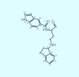 O=CC(CCNC1CCc2ccccc21)NC(=O)c1ccc2[nH]ncc2c1